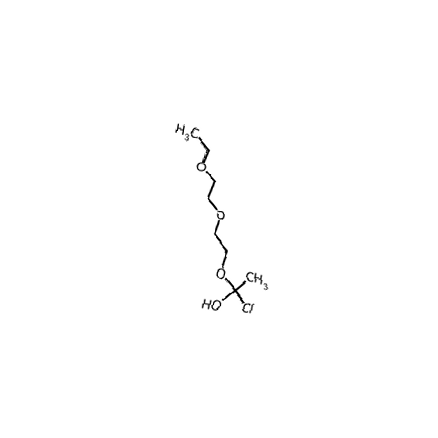 CCOCCOCCOC(C)(O)Cl